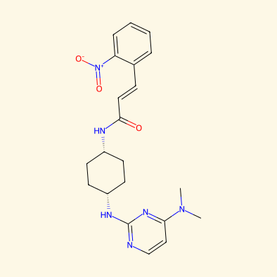 CN(C)c1ccnc(N[C@H]2CC[C@@H](NC(=O)C=Cc3ccccc3[N+](=O)[O-])CC2)n1